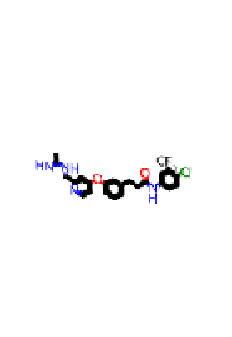 CC(=N)NCc1cc(Oc2cccc(CCC(=O)Nc3ccc(Cl)c(C(F)(F)F)c3)c2)ccn1